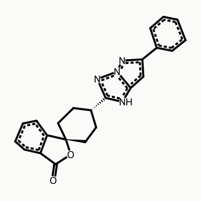 O=C1O[C@]2(CC[C@@H](c3nn4nc(-c5ccccc5)cc4[nH]3)CC2)c2ccccc21